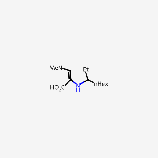 CCCCCCC(CC)NC(=CNC)C(=O)O